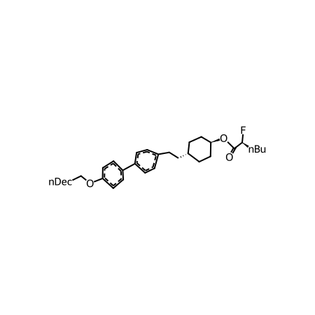 CCCCCCCCCCCOc1ccc(-c2ccc(CC[C@H]3CC[C@H](OC(=O)[C@@H](F)CCCC)CC3)cc2)cc1